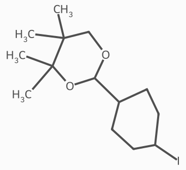 CC1(C)COC(C2CCC(I)CC2)OC1(C)C